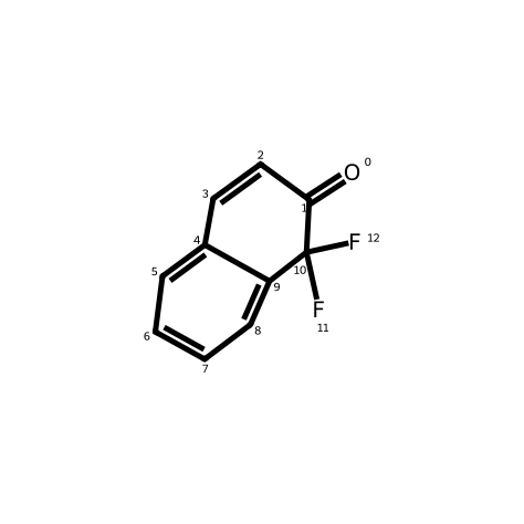 O=C1C=Cc2ccccc2C1(F)F